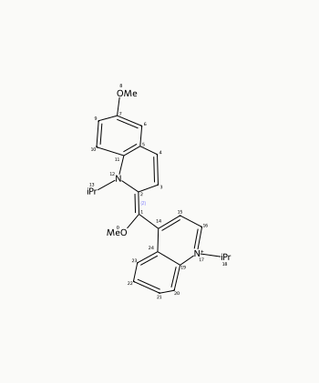 CO/C(=C1/C=Cc2cc(OC)ccc2N1C(C)C)c1cc[n+](C(C)C)c2ccccc12